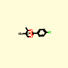 CC1OC2(c3ccc(Cl)cc3)OCC1(C(C)(C)C)CO2